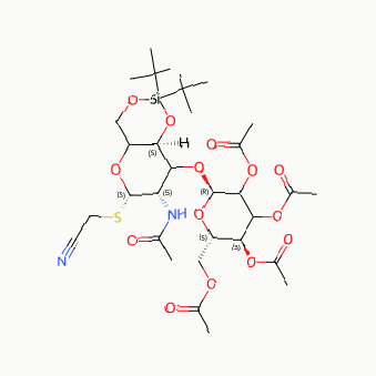 CC(=O)N[C@H]1C(O[C@@H]2O[C@@H](COC(C)=O)[C@H](OC(C)=O)C(OC(C)=O)C2OC(C)=O)[C@@H]2O[Si](C(C)(C)C)(C(C)(C)C)OCC2O[C@H]1SCC#N